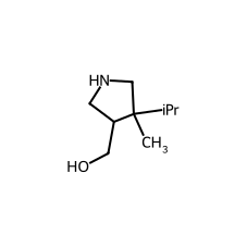 CC(C)C1(C)CNCC1CO